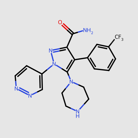 NC(=O)c1nn(-c2ccnnc2)c(N2CCNCC2)c1-c1cccc(C(F)(F)F)c1